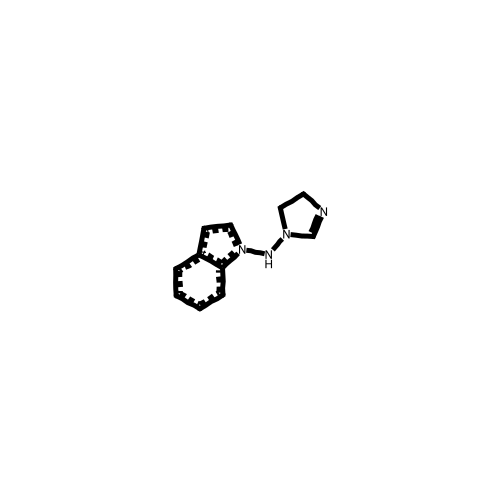 C1=NCCN1Nn1ccc2ccccc21